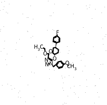 CCOC(=O)c1nnn(Cc2ccc(OC)cc2)c1O[C@H]1CC[C@H](c2ccc(F)cc2)CC1